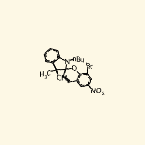 CCCCN1c2ccccc2C(C)(C)C12C=Cc1cc([N+](=O)[O-])cc(Br)c1O2